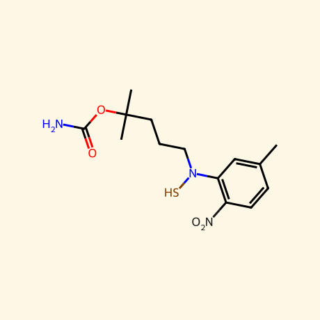 Cc1ccc([N+](=O)[O-])c(N(S)CCCC(C)(C)OC(N)=O)c1